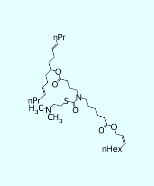 CCC/C=C/CCC(CC/C=C/CCC)OC(=O)CCCN(CCCCCC(=O)OC/C=C\CCCCCC)C(=O)SCCN(C)C